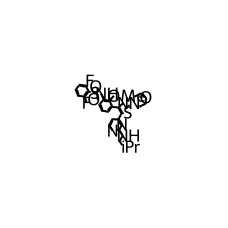 COc1c(NS(=O)(=O)c2c(F)cccc2F)cccc1-c1nc(N2CCOCC2)sc1-c1ccnc(NCC(C)C)n1